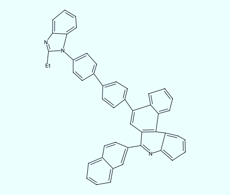 CCc1nc2ccccc2n1-c1ccc(-c2ccc(-c3cc4c(-c5ccc6ccccc6c5)nc5ccccc5c4c4ccccc34)cc2)cc1